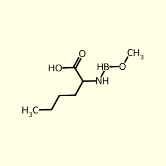 CCCCC(NBOC)C(=O)O